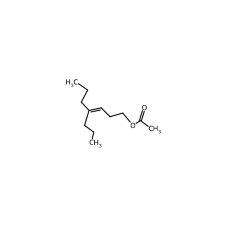 CCCC(=CCCOC(C)=O)CCC